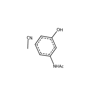 CC#N.CC(=O)Nc1cccc(O)c1